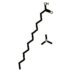 CCCCCCCCCCCCC(=O)O.CN(C)C